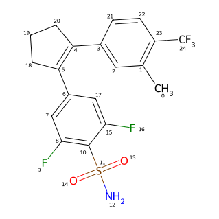 Cc1cc(C2=C(c3cc(F)c(S(N)(=O)=O)c(F)c3)CCC2)ccc1C(F)(F)F